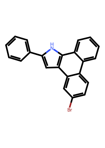 Brc1ccc2c3ccccc3c3[nH]c(-c4ccccc4)cc3c2c1